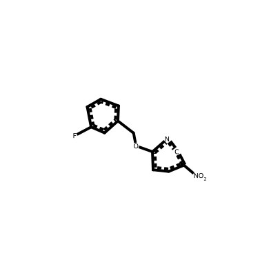 O=[N+]([O-])c1ccc(OCc2cccc(F)c2)nc1